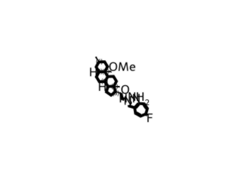 COC[C@]12CC[C@H](C)C[C@H]1CC[C@@H]1C2CC[C@@]2(C)C1CC[C@@H]2C(=O)CN(N)CC1=C(N)C=CC(F)C=C1